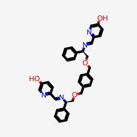 Oc1ccc(/C=N/[C@@H](COCc2ccc(COC[C@H](/N=C/c3ccc(O)cn3)c3ccccc3)cc2)c2ccccc2)nc1